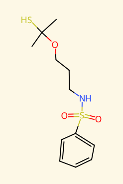 CC(C)(S)OCCCNS(=O)(=O)c1ccccc1